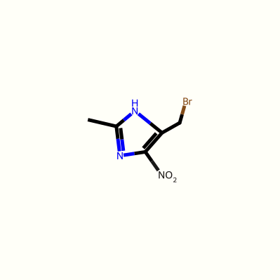 Cc1nc([N+](=O)[O-])c(CBr)[nH]1